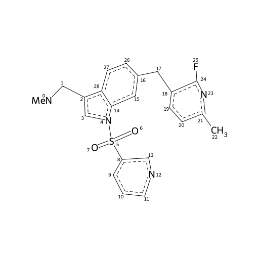 CNCc1cn(S(=O)(=O)c2cccnc2)c2cc(Cc3ccc(C)nc3F)ccc12